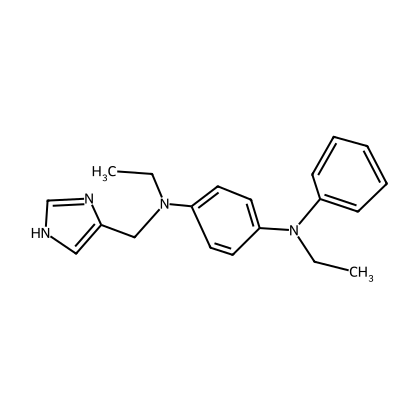 CCN(Cc1c[nH]cn1)c1ccc(N(CC)c2ccccc2)cc1